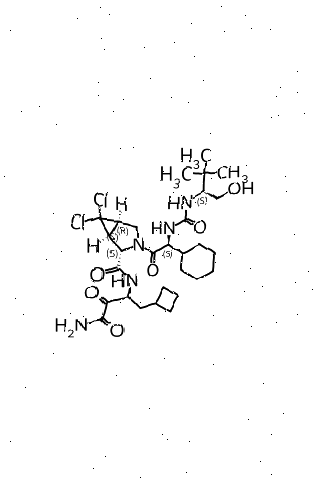 CC(C)(C)[C@@H](CO)NC(=O)N[C@H](C(=O)N1C[C@H]2[C@@H]([C@H]1C(=O)NC(CC1CCC1)C(=O)C(N)=O)C2(Cl)Cl)C1CCCCC1